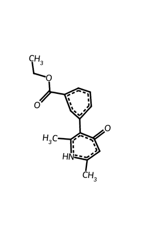 CCOC(=O)c1cccc(-c2c(C)[nH]c(C)cc2=O)c1